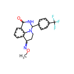 CO/N=C1\CCN2c3c(cccc31)C(=O)NC2c1ccc(C(F)(F)F)cc1